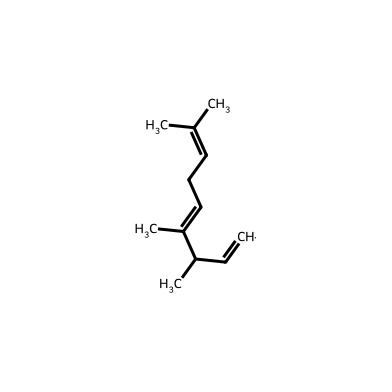 [CH]=CC(C)C(C)=CCC=C(C)C